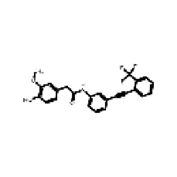 COc1cc(CC(=O)Nc2cccc(C#Cc3ccccc3C(F)(F)F)c2)ccc1O